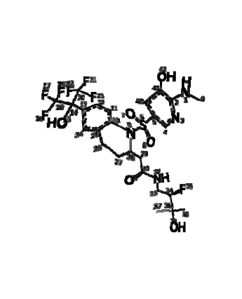 CNc1ncc(S(=O)(=O)N2c3ccc(C(O)(C(F)(F)F)C(F)(F)F)cc3CCC2CC(=O)NC[C@@H](F)C(C)(C)O)cc1O